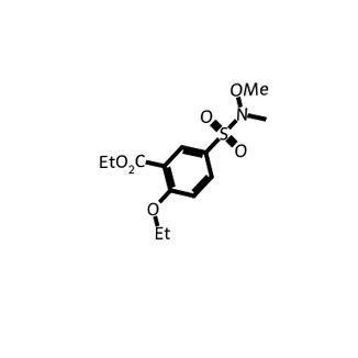 CCOC(=O)c1cc(S(=O)(=O)N(C)OC)ccc1OCC